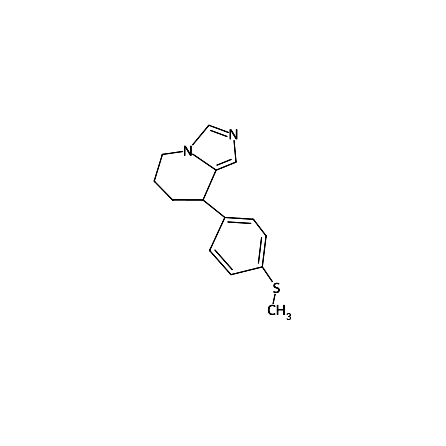 CSc1ccc(C2CCCn3cncc32)cc1